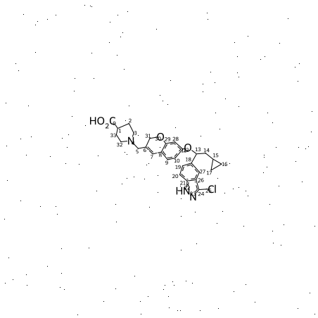 O=C(O)C1CCN(CC2=Cc3ccc(OC(CC4CC4)c4ccc5[nH]nc(Cl)c5c4)cc3OC2)CC1